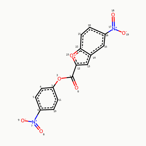 O=C(Oc1ccc([N+](=O)[O-])cc1)c1cc2cc([N+](=O)[O-])ccc2o1